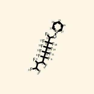 FC(F)C(F)C(F)C(F)(F)C(F)(F)C(F)(F)C(F)(F)C(F)O[si]1ccccc1